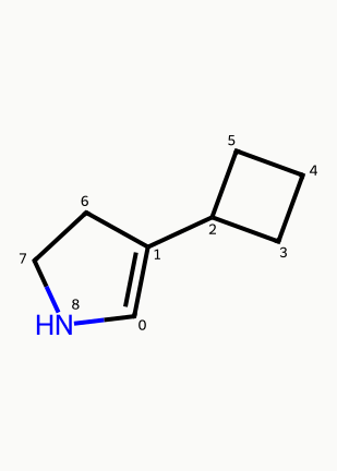 C1=C(C2CCC2)CCN1